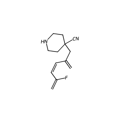 C=C(F)/C=C\C(=C)CC1(C#N)CCNCC1